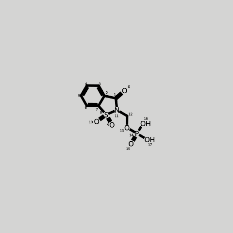 O=C1c2ccccc2S(=O)(=O)N1COP(=O)(O)O